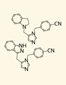 N#Cc1ccc(Cn2cncc2CN2CCc3ccccc32)cc1.N#Cc1ccc(Cn2cncc2Cc2n[nH]c3ccccc23)cc1